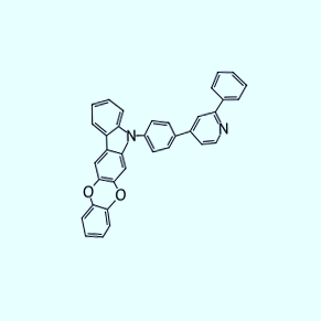 c1ccc(-c2cc(-c3ccc(-n4c5ccccc5c5cc6c(cc54)Oc4ccccc4O6)cc3)ccn2)cc1